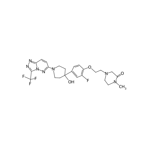 CN1CCN(CCOc2ccc(C3(O)CCN(c4ccc5nnc(C(F)(F)F)n5n4)CC3)cc2F)CC1=O